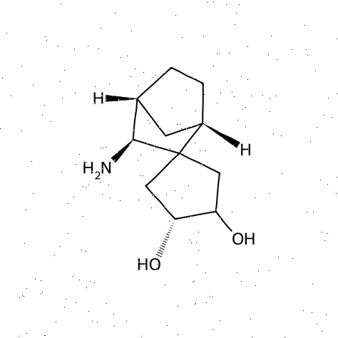 N[C@H]1[C@@H]2CC[C@@H](C2)C12CC(O)[C@H](O)C2